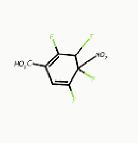 O=C(O)C1=C(F)C(F)C(F)([N+](=O)[O-])C(F)=C1